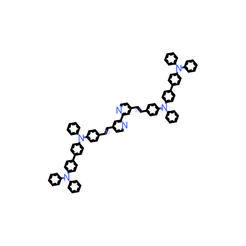 C(=C\c1ccnc(-c2cc(/C=C/c3ccc(N(c4ccccc4)c4ccc(-c5ccc(N(c6ccccc6)c6ccccc6)cc5)cc4)cc3)ccn2)c1)/c1ccc(N(c2ccccc2)c2ccc(-c3ccc(N(c4ccccc4)c4ccccc4)cc3)cc2)cc1